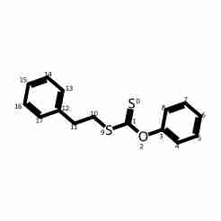 S=C(Oc1ccccc1)SCCc1ccccc1